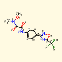 CON(C)C(=O)C(=O)Nc1ccc(-c2noc(C(F)(F)F)n2)cc1